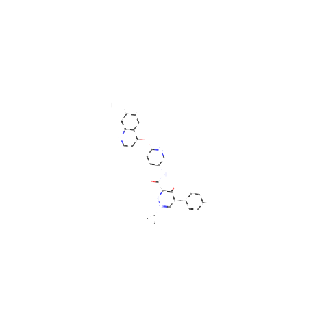 Cc1cc2nccc(Oc3ccc(NC(=O)c4nn(C5CC5)cc(-c5ccc(F)cc5)c4=O)cn3)c2cc1C